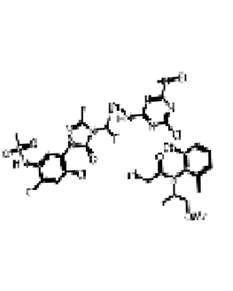 CCNc1nc(Cl)nc(NC(C)C)n1.CCc1cccc(C)c1N(C(=O)CCl)C(C)COC.Cc1nn(-c2cc(NS(C)(=O)=O)c(Cl)cc2Cl)c(=O)n1C(F)F